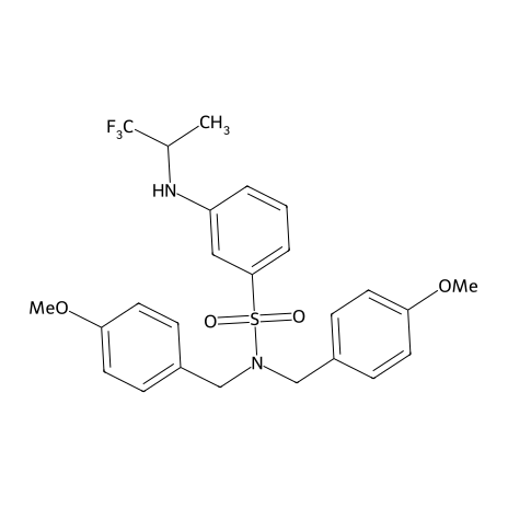 COc1ccc(CN(Cc2ccc(OC)cc2)S(=O)(=O)c2cccc(NC(C)C(F)(F)F)c2)cc1